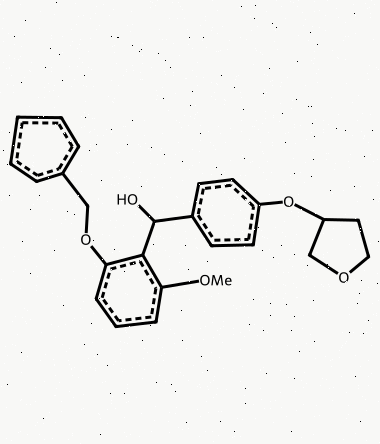 COc1cccc(OCc2ccccc2)c1C(O)c1ccc(OC2CCOC2)cc1